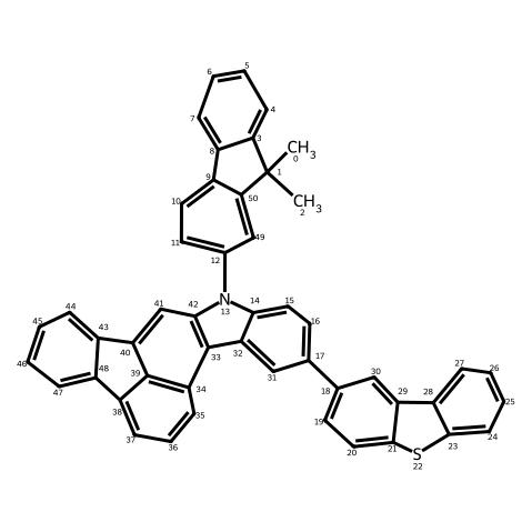 CC1(C)c2ccccc2-c2ccc(-n3c4ccc(-c5ccc6sc7ccccc7c6c5)cc4c4c5cccc6c5c(cc43)-c3ccccc3-6)cc21